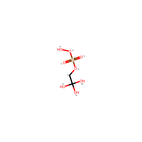 O=S(=O)(OO)OCC(O)(O)O